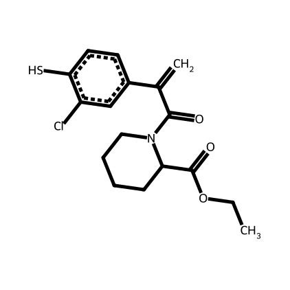 C=C(C(=O)N1CCCCC1C(=O)OCC)c1ccc(S)c(Cl)c1